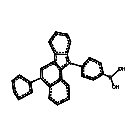 OB(O)c1ccc(-n2c3ccccc3c3cc(-c4ccccc4)c4ccccc4c32)cc1